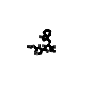 CNC(=O)[C@H](Cc1c[nH]c2c1C=CCC2)NC(=O)C(CC(C)C)NC(=O)OC(C)(C)C